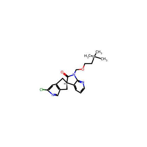 C[Si](C)(C)CCOCN1C(=O)[C@]2(Cc3cnc(Cl)cc3C2)c2cccnc21